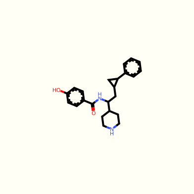 O=C(NC(CC1CC1c1ccccc1)C1CCNCC1)c1ccc(O)cc1